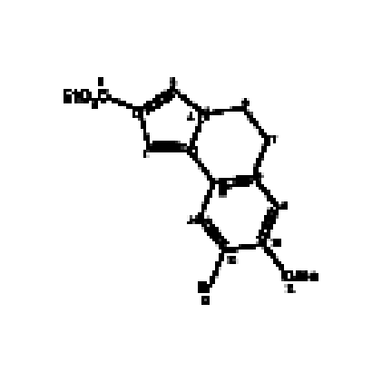 CCOC(=O)c1cc2n(c1)CCc1cc(OC)c(Br)cc1-2